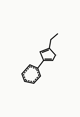 CCC1=CC(c2ccccc2)=C[CH]1